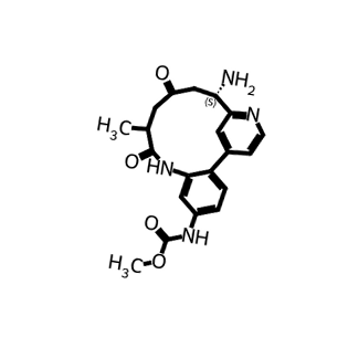 COC(=O)Nc1ccc2c(c1)NC(=O)C(C)CC(=O)C[C@H](N)c1cc-2ccn1